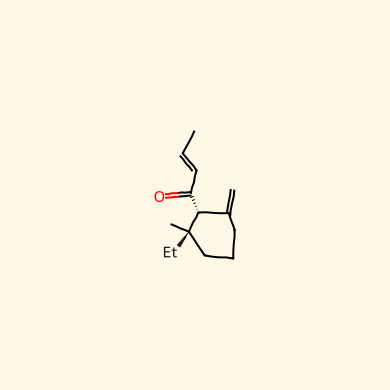 C=C1CCC[C@@](C)(CC)[C@@H]1C(=O)/C=C/C